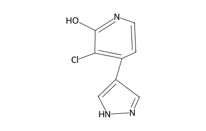 Oc1nccc(-c2cn[nH]c2)c1Cl